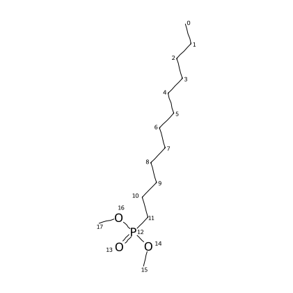 CCCCCCCCCCCCP(=O)(OC)OC